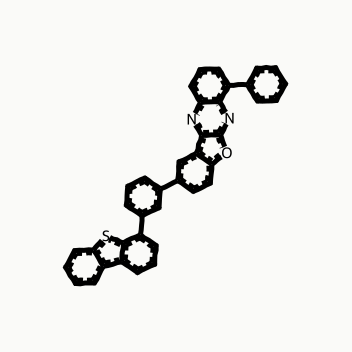 c1ccc(-c2cccc3nc4c(nc23)oc2ccc(-c3cccc(-c5cccc6c5sc5ccccc56)c3)cc24)cc1